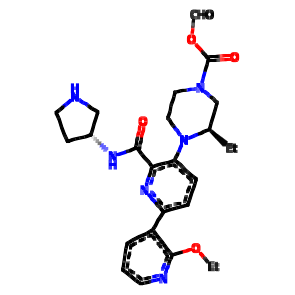 CCOc1ncccc1-c1ccc(N2CCN(C(=O)OC=O)C[C@H]2CC)c(C(=O)N[C@@H]2CCNC2)n1